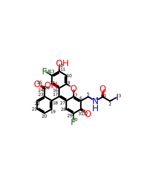 O=C(CI)NCc1c2oc3cc(O)c(F)cc3c(-c3ccccc3C(=O)O)c-2cc(F)c1=O